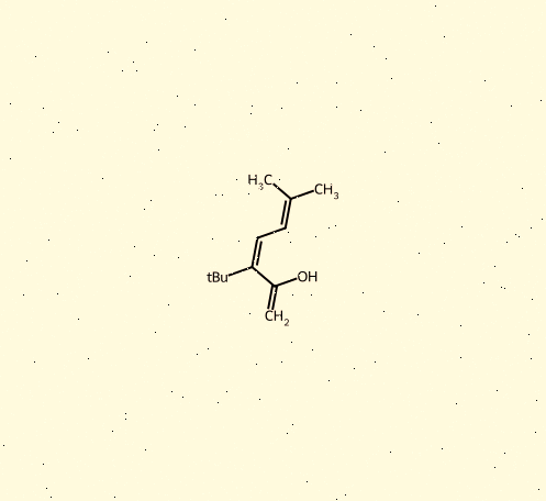 C=C(O)/C(=C\C=C(C)C)C(C)(C)C